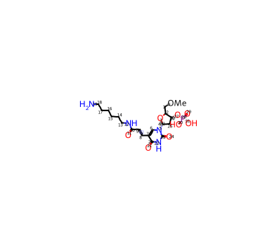 COCC1O[C@@H](n2cc(/C=C/C(=O)NCCCCCCN)c(=O)[nH]c2=O)C[C@H]1OP(=O)(O)O